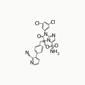 C[C@@]1(Cc2ccc(-c3cccnc3C#N)cc2)C(=O)N(c2cc(Cl)cc(Cl)c2)c2ncc(S(N)(=O)=O)n21